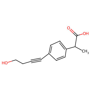 CC(C(=O)O)c1ccc(C#CCCO)cc1